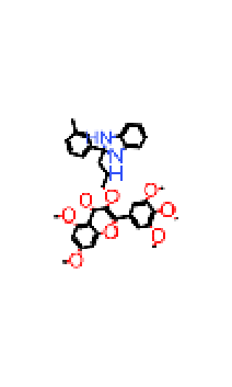 COc1cc(OC)c2c(=O)c(OCCCC3(c4cccc(C)c4)Nc4ccccc4N3)c(-c3cc(OC)c(OC)c(OC)c3)oc2c1